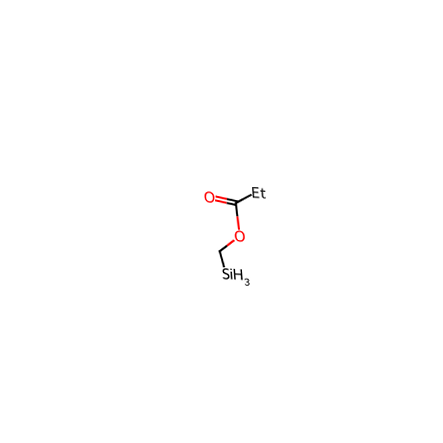 CCC(=O)OC[SiH3]